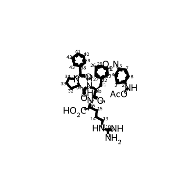 CC(=O)ONc1ccc([N+](=O)[O-])cc1.N=C(N)NCCC[C@H](NC(=O)[C@H](Cc1ccccc1)NC(=O)[C@@H]1CCCN1C(=O)c1ccccc1)C(=O)O